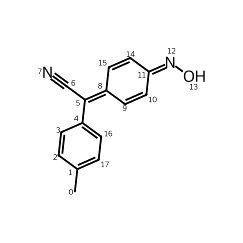 Cc1ccc(C(C#N)=C2C=CC(=NO)C=C2)cc1